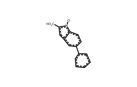 O=C(O)c1cc2cc(-c3ccccc3)ccc2n1Cl